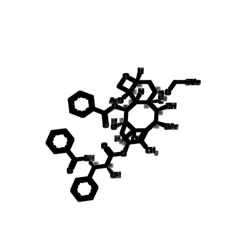 CSCO[C@H]1C[C@H]2OC[C@@]2(OC(C)=O)[C@H]2[C@H](OC(=O)c3ccccc3)[C@]3(O)C[C@H](OC(=O)[C@H](O)[C@@H](NC(=O)c4ccccc4)c4ccccc4)C(C)=C([C@H](OC(C)=O)[C@H](O)[C@]12C)C3(C)C